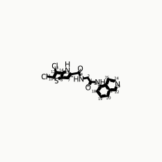 O=C(CNC(=O)c1cc2sc(Cl)c(Cl)c2[nH]1)Nc1cccc2cnccc12